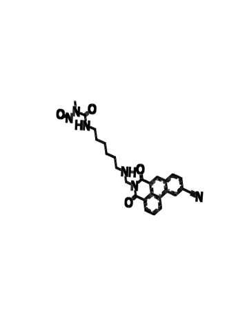 CN(N=O)C(=O)NCCCCCCNCN1C(=O)c2cccc3c2c(cc2ccc(C#N)cc23)C1=O